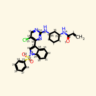 C=CC(=O)N[C@H]1CCC[C@@H](Nc2ncc(Cl)c(-c3cn(S(=O)(=O)c4ccccc4)c4ccccc34)n2)C1